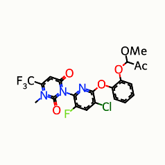 COC(Oc1ccccc1Oc1nc(-n2c(=O)cc(C(F)(F)F)n(C)c2=O)c(F)cc1Cl)C(C)=O